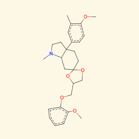 COc1ccc(C23CCN(C)C2CC2(CC3)OCC(COc3ccccc3OC)O2)cc1C